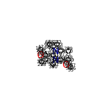 c1ccc(-c2ccc(N(c3cc(-c4cc5c6ccccc6oc5c5c4ccc4ccccc45)cc(N(c4ccccc4)c4ccc(-c5cccc6c5oc5ccccc56)cc4)c3)c3cc4ccccc4c4ccccc34)cc2)cc1